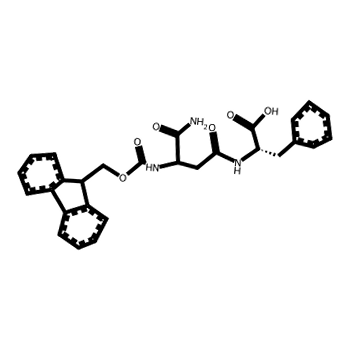 NC(=O)C(CC(=O)N[C@@H](Cc1ccccc1)C(=O)O)NC(=O)OCC1c2ccccc2-c2ccccc21